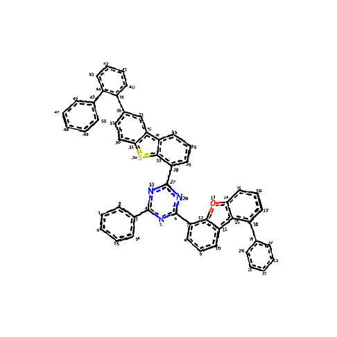 c1ccc(-c2nc(-c3cccc4c3oc3cccc(-c5ccccc5)c34)nc(-c3cccc4c3sc3ccc(-c5ccccc5-c5ccccc5)cc34)n2)cc1